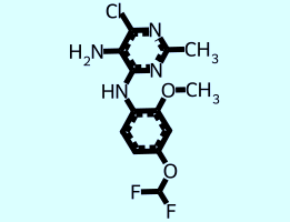 COc1cc(OC(F)F)ccc1Nc1nc(C)nc(Cl)c1N